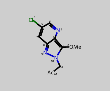 COc1c2ncc(Cl)cc2nn1CC(C)=O